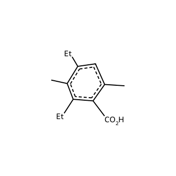 CCc1cc(C)c(C(=O)O)c(CC)c1C